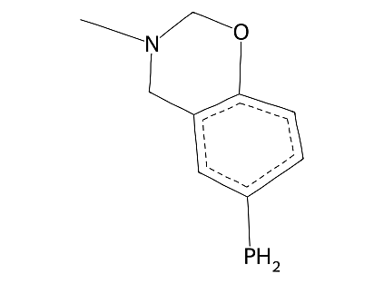 CN1COc2ccc(P)cc2C1